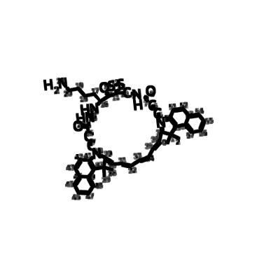 CC1(C)C2=[N+](CCC(=O)NCC3(SS3)C(=O)[C@H](CCCCN)NNC(=O)CCN3/C(=C/C=C/C=C/C=C/2)C(C)(C)c2c3ccc3ccccc23)c2ccc3ccccc3c21